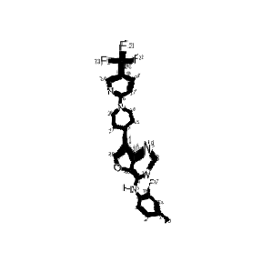 Cc1ccc(Nc2ncnc3c(C4CCN(c5ccc(C(F)(F)F)cn5)CC4)coc23)c(F)c1